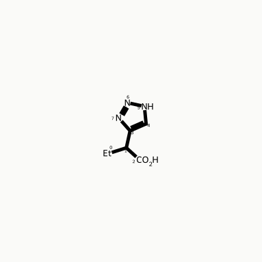 CCC(C(=O)O)c1c[nH]nn1